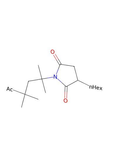 CCCCCCC1CC(=O)N(C(C)(C)CC(C)(C)C(C)=O)C1=O